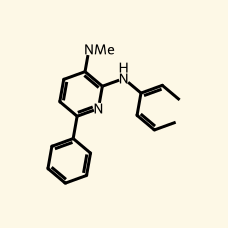 C/C=C\C(=C/C)Nc1nc(-c2ccccc2)ccc1NC